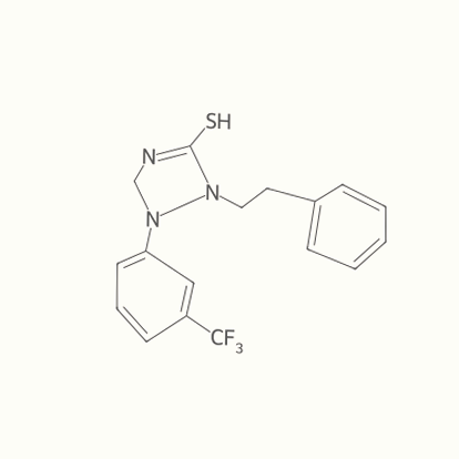 FC(F)(F)c1cccc(N2CN=C(S)N2CCc2ccccc2)c1